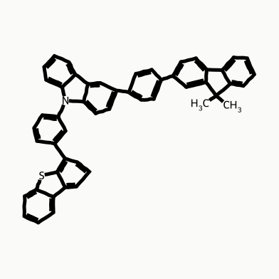 CC1(C)c2ccccc2-c2ccc(-c3ccc(-c4ccc5c(c4)c4ccccc4n5-c4cccc(-c5cccc6c5sc5ccccc56)c4)cc3)cc21